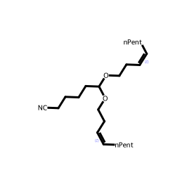 CCCCC/C=C\CCOC(CCCCC#N)OCC/C=C\CCCCC